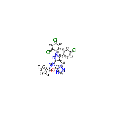 FC(F)(F)C1(C2=NN(c3nn(-c4ccc(Cl)cc4Cl)c(-c4ccc(Cl)cc4)c3Cn3cncn3)CO2)CC1